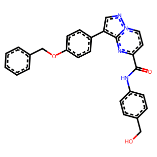 O=C(Nc1ccc(CO)cc1)c1ccn2ncc(-c3ccc(OCc4ccccc4)cc3)c2n1